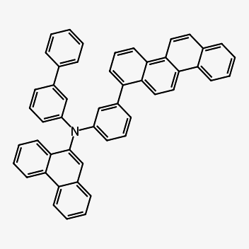 c1ccc(-c2cccc(N(c3cccc(-c4cccc5c4ccc4c6ccccc6ccc54)c3)c3cc4ccccc4c4ccccc34)c2)cc1